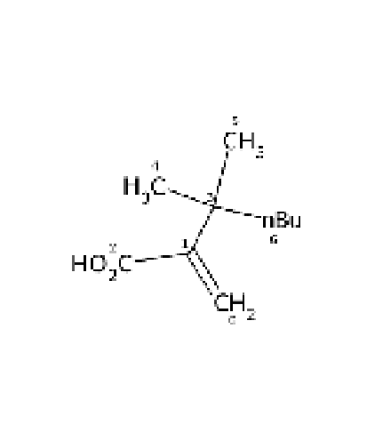 C=C(C(=O)O)C(C)(C)CCCC